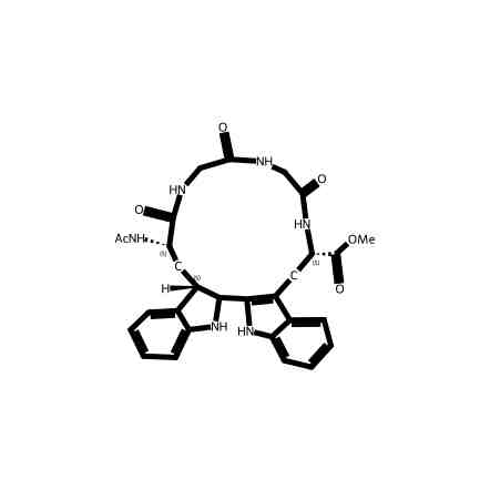 COC(=O)[C@@H]1Cc2c([nH]c3ccccc23)C2Nc3ccccc3[C@@H]2C[C@H](NC(C)=O)C(=O)NCC(=O)NCC(=O)N1